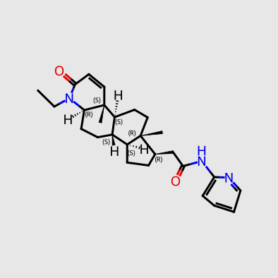 CCN1C(=O)C=C[C@]2(C)[C@H]3CC[C@]4(C)[C@@H](CC(=O)Nc5ccccn5)CC[C@H]4[C@@H]3CC[C@@H]12